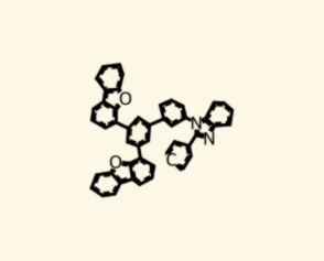 c1ccc(-c2nc3ccccc3n2-c2cccc(-c3cc(-c4cccc5c4oc4ccccc45)cc(-c4cccc5c4oc4ccccc45)c3)c2)cc1